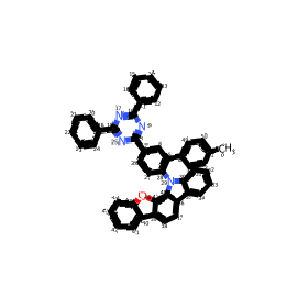 Cc1ccc(-c2cc(-c3nc(-c4ccccc4)nc(-c4ccccc4)n3)ccc2-n2c3ccccc3c3ccc4c5ccccc5oc4c32)cc1